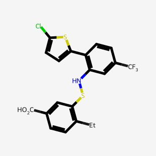 CCc1ccc(C(=O)O)cc1SNc1cc(C(F)(F)F)ccc1-c1ccc(Cl)s1